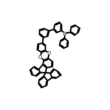 c1ccc(N(c2ccccc2)c2cccc(-c3cccc(-c4ccc5c(c4)Oc4ccc6c(c4O5)-c4ccccc4C64c5ccccc5-c5ccccc54)c3)c2)cc1